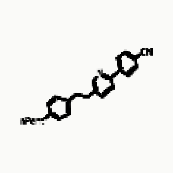 CCCCCc1ccc(CCc2ccc(-c3ccc(C#N)cc3)nc2)cc1